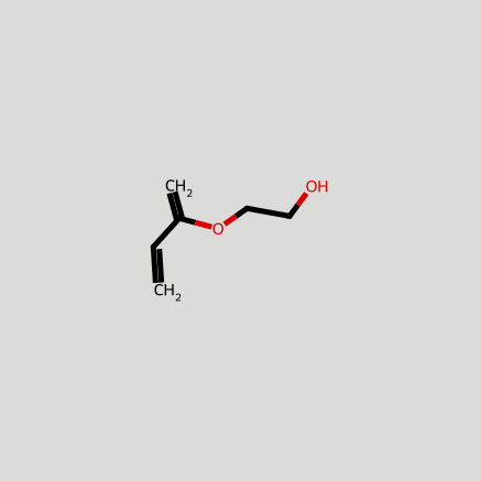 C=CC(=C)OCCO